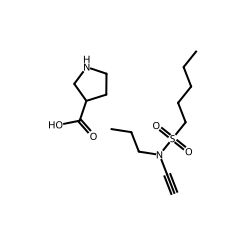 C#CN(CCC)S(=O)(=O)CCCCC.O=C(O)C1CCNC1